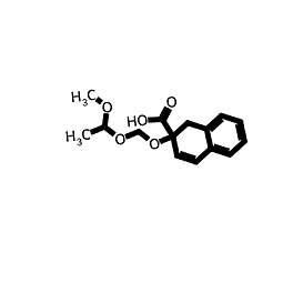 COC(C)OCOC1(C(=O)O)C=Cc2ccccc2C1